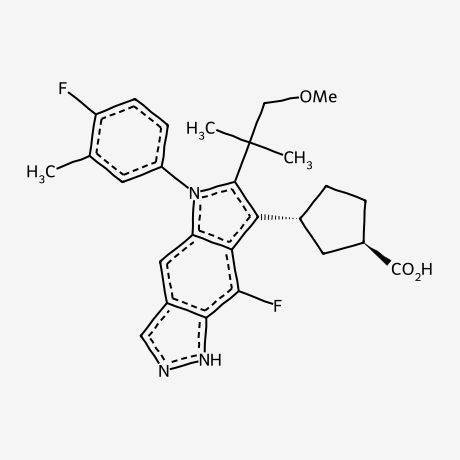 COCC(C)(C)c1c([C@@H]2CC[C@@H](C(=O)O)C2)c2c(F)c3[nH]ncc3cc2n1-c1ccc(F)c(C)c1